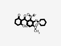 COc1ccc(C(=O)C2=C(O)CCCC2=O)c([N+](=O)[O-])c1N=S1(=O)CCCCC1